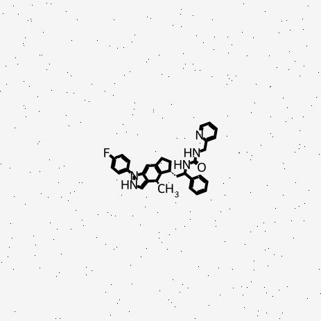 C[C@H]1C2=CNN(c3ccc(F)cc3)C2=CC2=C1[C@@H](CC(NC(=O)NCc1ccccn1)c1ccccc1)CC2